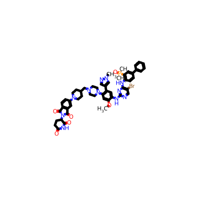 COc1cc(N2CCN(CC3CCN(c4ccc5c(c4)C(=O)N(C4CCC(=O)NC4=O)C5=O)CC3)CC2)c(-c2cnn(C)c2)cc1Nc1ncc(Br)c(Nc2ccc(-c3ccccc3)cc2P(C)(C)=O)n1